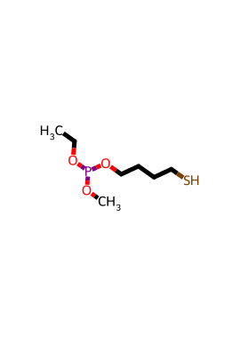 CCOP(OC)OCCCCS